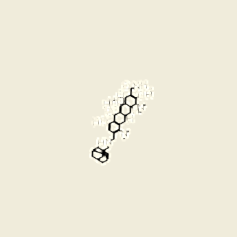 CN(C)c1c(CNCC23CC4CC(CC(C4)C2)C3)cc(O)c2c1C[C@H]1C[C@H]3[C@H](N(C)C)C(O)=C(C(N)=O)C(=O)[C@@]3(O)C(O)=C1C2=O